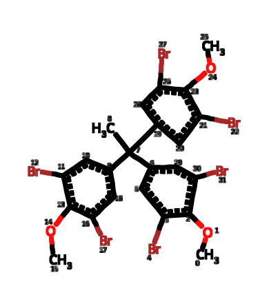 COc1c(Br)cc(C(C)(c2cc(Br)c(OC)c(Br)c2)c2cc(Br)c(OC)c(Br)c2)cc1Br